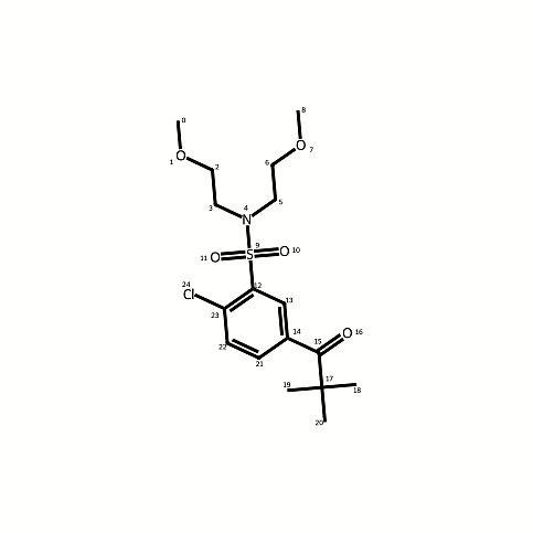 COCCN(CCOC)S(=O)(=O)c1cc(C(=O)C(C)(C)C)ccc1Cl